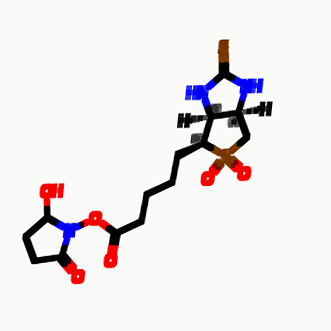 O=C(CCCC[C@H]1[C@H]2NC(=S)N[C@H]2CS1(=O)=O)ON1C(=O)CCC1O